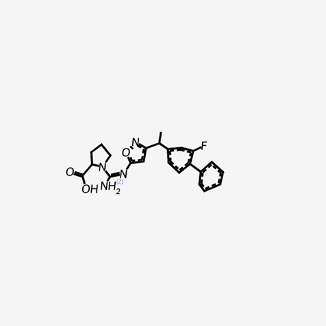 CC(c1ccc(-c2ccccc2)c(F)c1)c1cc(/N=C(/N)N2CCCC2C(=O)O)on1